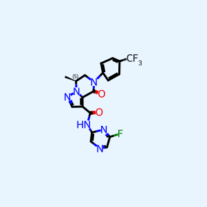 C[C@H]1CN(c2ccc(C(F)(F)F)cc2)C(=O)c2c(C(=O)Nc3cncc(F)n3)cnn21